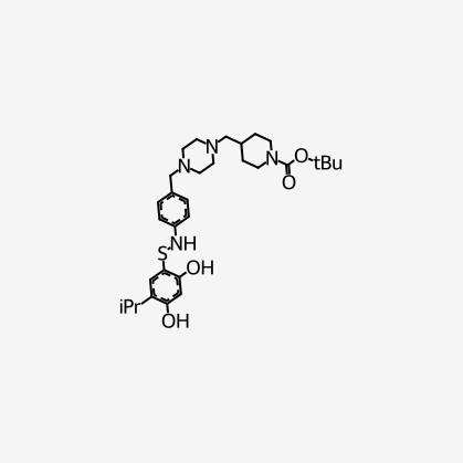 CC(C)c1cc(SNc2ccc(CN3CCN(CC4CCN(C(=O)OC(C)(C)C)CC4)CC3)cc2)c(O)cc1O